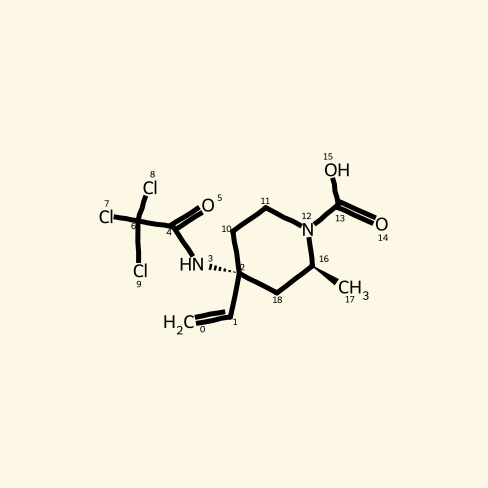 C=C[C@@]1(NC(=O)C(Cl)(Cl)Cl)CCN(C(=O)O)[C@@H](C)C1